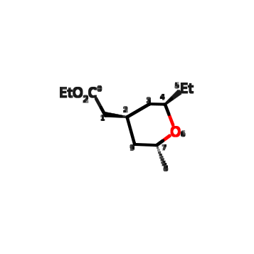 CCOC(=O)C[C@H]1C[C@@H](CC)O[C@H](C)C1